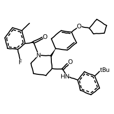 Cc1cccc(F)c1C(=O)N1CCCC(C(=O)Nc2cccc(C(C)(C)C)c2)C1[C@@H]1C=CC(OC2CCCC2)=CC1